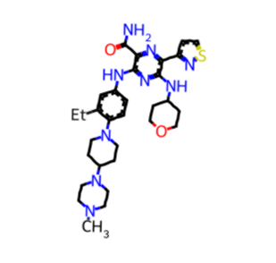 CCc1cc(Nc2nc(NC3CCOCC3)c(-c3ccsn3)nc2C(N)=O)ccc1N1CCC(N2CCN(C)CC2)CC1